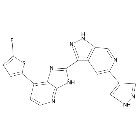 Fc1ccc(-c2ccnc3[nH]c(-c4n[nH]c5cnc(-c6cn[nH]c6)cc45)nc23)s1